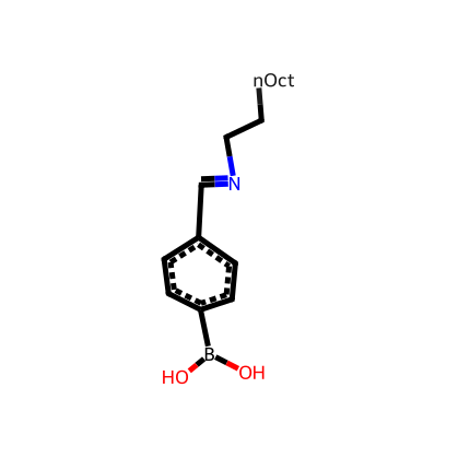 CCCCCCCCCCN=Cc1ccc(B(O)O)cc1